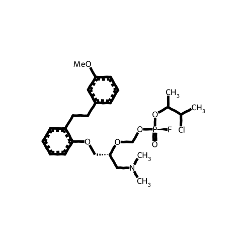 COc1cccc(CCc2ccccc2OC[C@@H](CN(C)C)OCO[P@](=O)(F)OC(C)C(C)Cl)c1